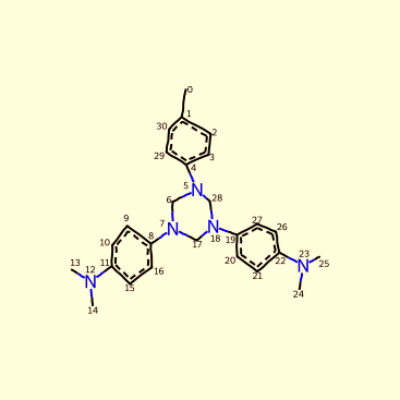 Cc1ccc(N2CN(c3ccc(N(C)C)cc3)CN(c3ccc(N(C)C)cc3)C2)cc1